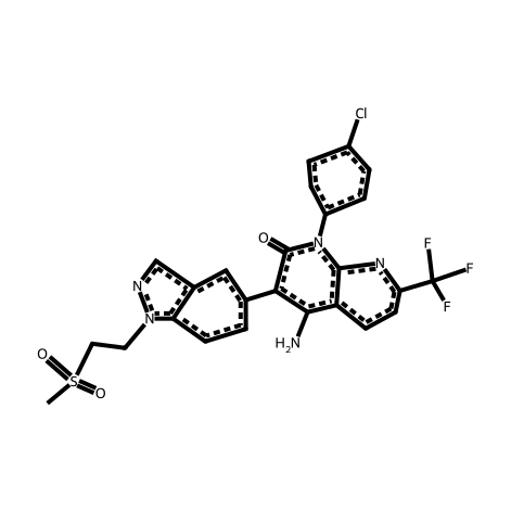 CS(=O)(=O)CCn1ncc2cc(-c3c(N)c4ccc(C(F)(F)F)nc4n(-c4ccc(Cl)cc4)c3=O)ccc21